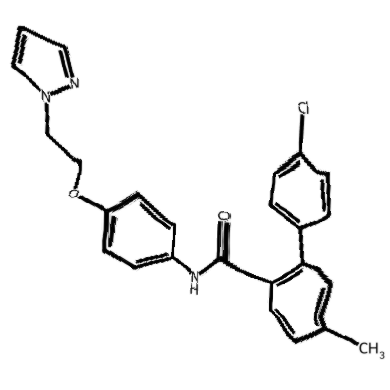 Cc1ccc(C(=O)Nc2ccc(OCCn3cccn3)cc2)c(-c2ccc(Cl)cc2)c1